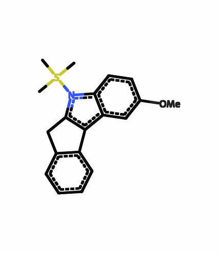 COc1ccc2c(c1)c1c(n2S(C)(C)C)Cc2ccccc2-1